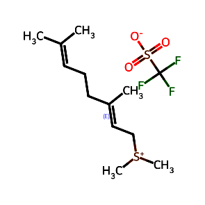 CC(C)=CCC/C(C)=C/C[S+](C)C.O=S(=O)([O-])C(F)(F)F